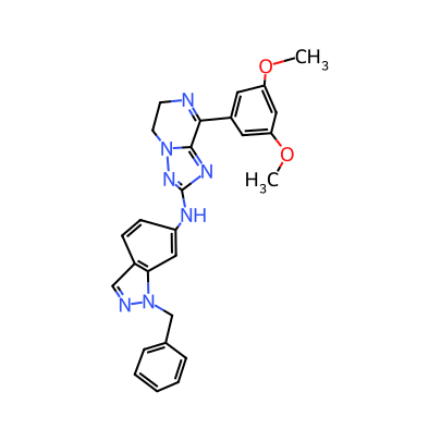 COc1cc(OC)cc(C2=NCCn3nc(Nc4ccc5cnn(Cc6ccccc6)c5c4)nc32)c1